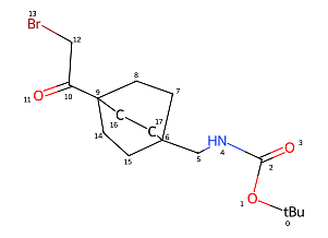 CC(C)(C)OC(=O)NCC12CCC(C(=O)CBr)(CC1)CC2